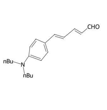 CCCCN(CCCC)c1ccc(C=CC=CC=O)cc1